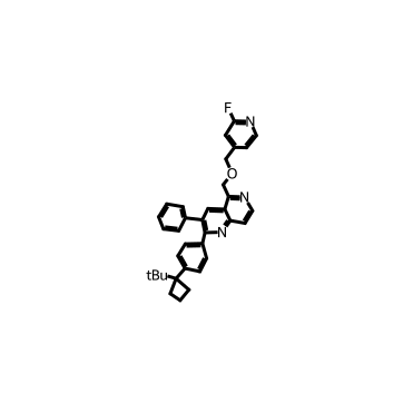 CC(C)(C)C1(c2ccc(-c3nc4ccnc(COCc5ccnc(F)c5)c4cc3-c3ccccc3)cc2)CCC1